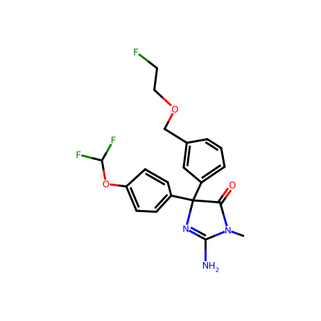 CN1C(=O)C(c2ccc(OC(F)F)cc2)(c2cccc(COCCF)c2)N=C1N